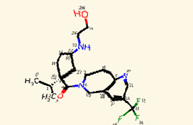 CC(C)[C@]1(C(=O)N2CCc3ncc(C(F)(F)F)cc3C2)CC[C@@H](NCCO)C1